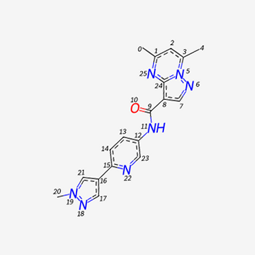 Cc1cc(C)n2ncc(C(=O)Nc3ccc(-c4cnn(C)c4)nc3)c2n1